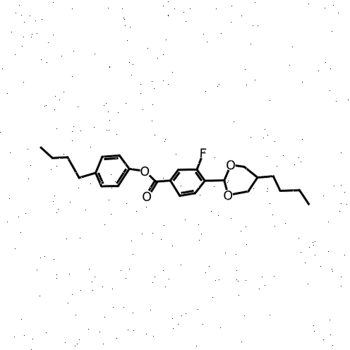 CCCCc1ccc(OC(=O)c2ccc(C3OCC(CCCC)CO3)c(F)c2)cc1